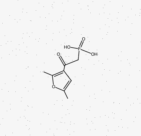 Cc1cc(C(=O)CP(=O)(O)O)c(C)o1